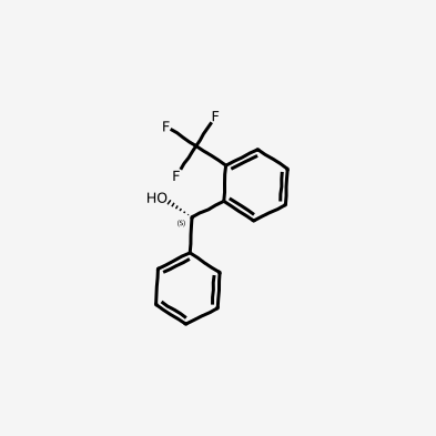 O[C@@H](c1ccccc1)c1ccccc1C(F)(F)F